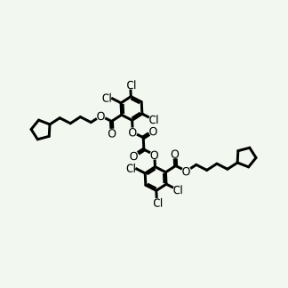 O=C(Oc1c(Cl)cc(Cl)c(Cl)c1C(=O)OCCCCC1CCCC1)C(=O)Oc1c(Cl)cc(Cl)c(Cl)c1C(=O)OCCCCC1CCCC1